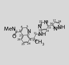 CNC(=O)c1ccnc2c([C@H](C)CNc3cc(-c4cc[nH]n4)ncn3)cccc12